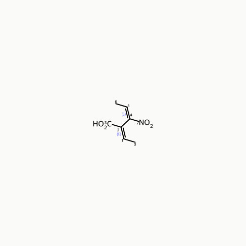 C/C=C(C(=O)O)\C(=C/C)[N+](=O)[O-]